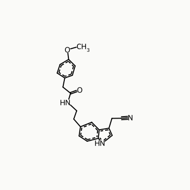 COc1ccc(CC(=O)NCCc2ccc3[nH]cc(CC#N)c3c2)cc1